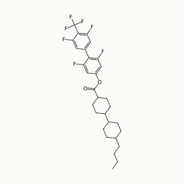 CCCCC1CCC(C2CCC(C(=O)Oc3cc(F)c(-c4cc(F)c(C(F)(F)F)c(F)c4)c(F)c3)CC2)CC1